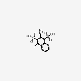 Nc1c(S(=O)(=O)O)c(I)c2ccccc2c1S(=O)(=O)O